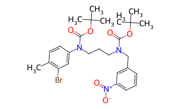 Cc1ccc(N(CCCN(Cc2cccc([N+](=O)[O-])c2)C(=O)OC(C)(C)C)C(=O)OC(C)(C)C)cc1Br